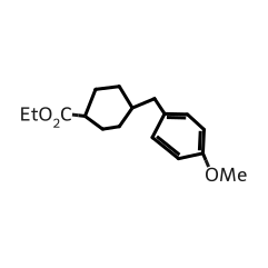 CCOC(=O)C1CCC(Cc2ccc(OC)cc2)CC1